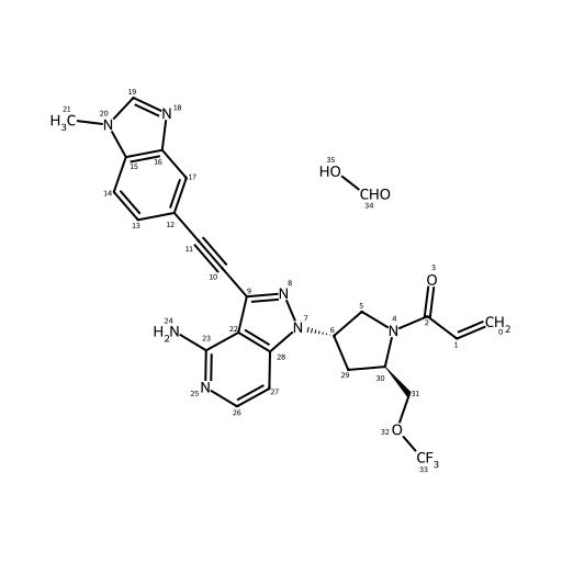 C=CC(=O)N1C[C@@H](n2nc(C#Cc3ccc4c(c3)ncn4C)c3c(N)nccc32)C[C@@H]1COC(F)(F)F.O=CO